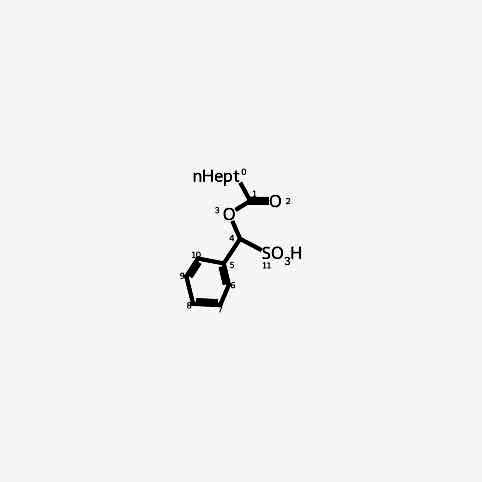 CCCCCCCC(=O)OC(c1ccccc1)S(=O)(=O)O